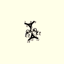 CCO[Si](OCC)(C1C(C)C1C)C1C(C)C1C